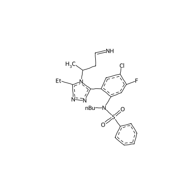 CCCCN(c1cc(F)c(Cl)cc1-c1nnc(CC)n1C(C)CC=N)S(=O)(=O)c1ccccc1